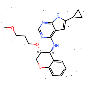 COCCCO[C@H]1COc2ccccc2[C@@H]1Nc1ncnc2[nH]c(C3CC3)cc12